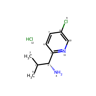 CC(C)[C@@H](N)c1ccc(Cl)cn1.Cl